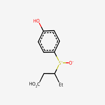 CCC(CC(=O)O)[S+]([O-])c1ccc(O)cc1